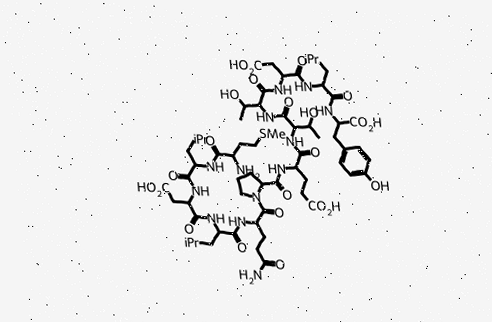 CSCCC(N)C(=O)NC(CC(C)C)C(=O)NC(CC(=O)O)C(=O)NC(CC(C)C)C(=O)NC(CCC(N)=O)C(=O)N1CCCC1C(=O)NC(CCC(=O)O)C(=O)NC(C(=O)NC(C(=O)NC(CC(=O)O)C(=O)NC(CC(C)C)C(=O)NC(Cc1ccc(O)cc1)C(=O)O)C(C)O)C(C)O